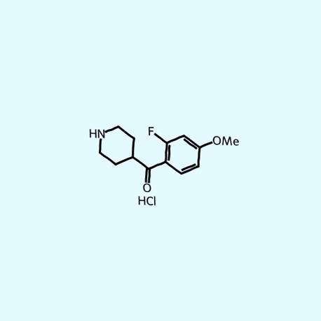 COc1ccc(C(=O)C2CCNCC2)c(F)c1.Cl